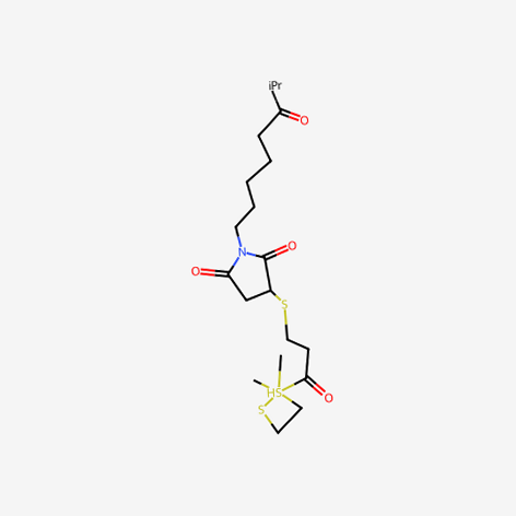 CC(C)C(=O)CCCCCN1C(=O)CC(SCCC(=O)[SH]2(C)(C)CCS2)C1=O